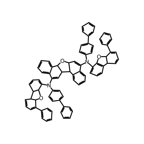 C1=CC2c3cccc(N(C4=CC5OC6c7ccccc7C(N(C7=CC=CC8C7OC7C(c9ccccc9)=CC=CC78)c7ccc(-c8ccccc8)cc7)=CC6C5c5ccccc54)c4ccc(-c5ccccc5)cc4)c3OC2C(c2ccccc2)=C1